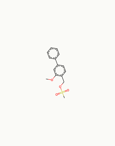 COc1cc(-c2ccccc2)ccc1COS(C)(=O)=O